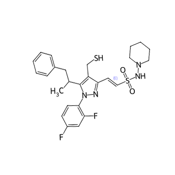 CC(Cc1ccccc1)c1c(CS)c(/C=C/S(=O)(=O)NN2CCCCC2)nn1-c1ccc(F)cc1F